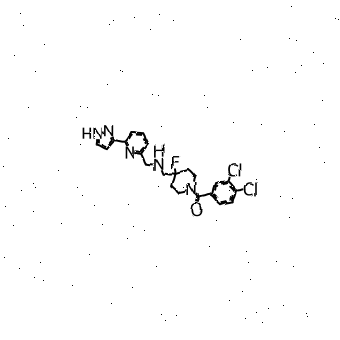 O=C(c1ccc(Cl)c(Cl)c1)N1CCC(F)(CNCc2cccc(-c3cc[nH]n3)n2)CC1